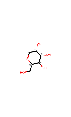 OC[C@H]1O[CH][C@H](O)[C@H](O)[C@H]1O